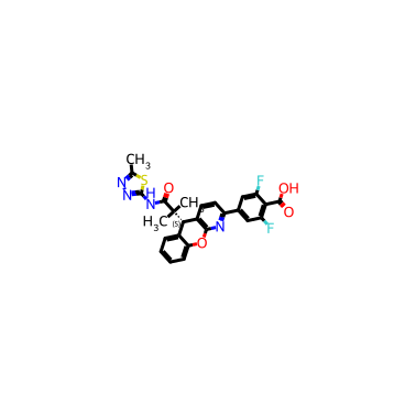 Cc1nnc(NC(=O)C(C)(C)[C@H]2c3ccccc3Oc3nc(-c4cc(F)c(C(=O)O)c(F)c4)ccc32)s1